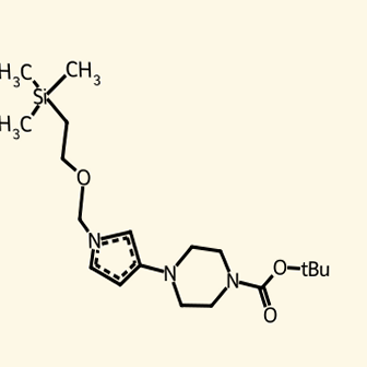 CC(C)(C)OC(=O)N1CCN(c2ccn(COCC[Si](C)(C)C)c2)CC1